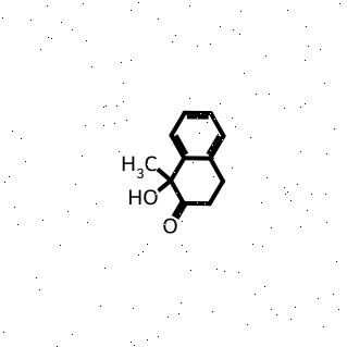 CC1(O)C(=O)CCc2ccccc21